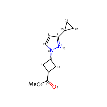 COC(=O)[C@H]1C[C@H](n2ccc(C3CC3)n2)C1